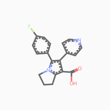 O=C(O)c1c(-c2ccncc2)c(-c2ccc(F)cc2)n2c1CCC2